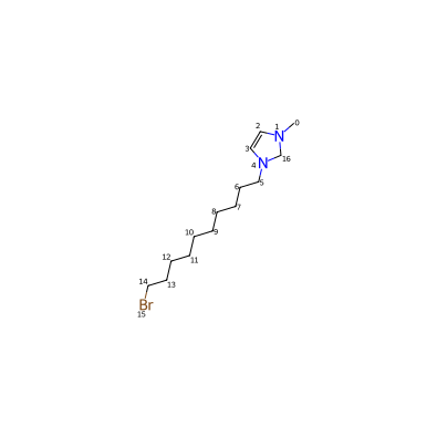 CN1C=CN(CCCCCCCCCCBr)C1